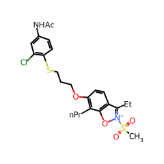 CCCc1c(OCCCSc2ccc(NC(C)=O)cc2Cl)ccc2c(CC)[n+](S(C)(=O)=O)oc12